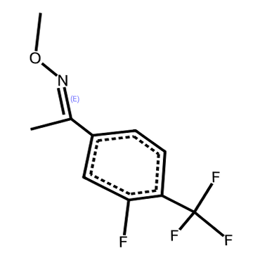 CO/N=C(\C)c1ccc(C(F)(F)F)c(F)c1